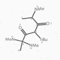 CCCCC(C(=O)C(C)NC)C(=O)C(C)(NC)NC